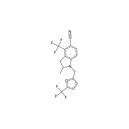 CC1Cc2c(ccc(C#N)c2C(F)(F)F)N1Cc1ccc(C(F)(F)F)o1